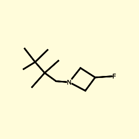 CC(C)(C)C(C)(C)CN1CC(F)C1